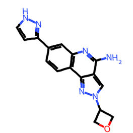 Nc1nc2cc(-c3cc[nH]n3)ccc2c2nn(C3COC3)cc12